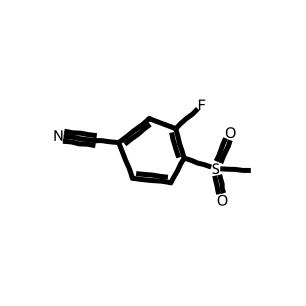 CS(=O)(=O)c1ccc(C#N)cc1F